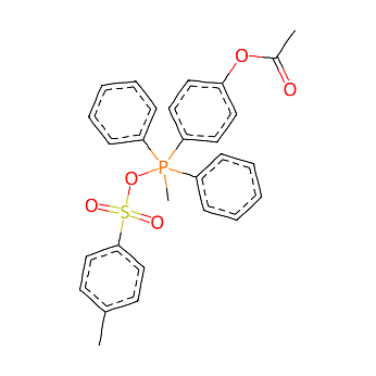 CC(=O)Oc1ccc(P(C)(OS(=O)(=O)c2ccc(C)cc2)(c2ccccc2)c2ccccc2)cc1